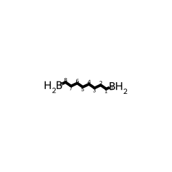 BCCCCCCCCB